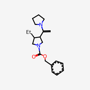 C=C(C1CN(C(=O)OCc2ccccc2)CC1CC)N1CCCC1